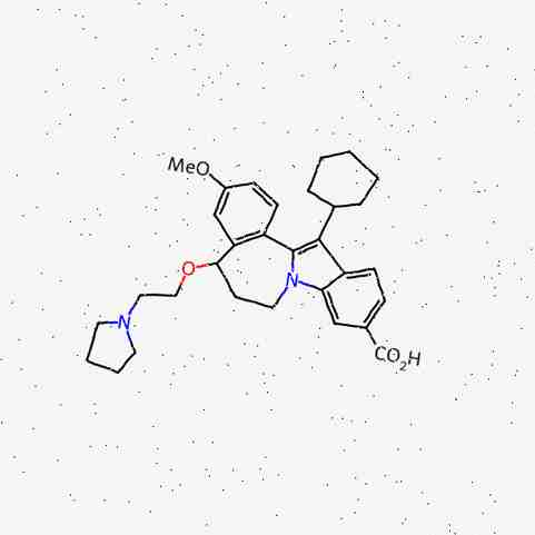 COc1ccc2c(c1)C(OCCN1CCCC1)CCn1c-2c(C2CCCCC2)c2ccc(C(=O)O)cc21